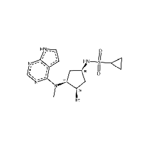 CC[C@@H]1C[C@H](NS(=O)(=O)C2CC2)C[C@@H]1N(C)c1ncnc2[nH]ccc12